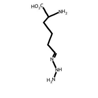 NNN=CCCCC(N)C(=O)O